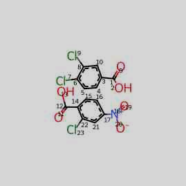 O=C(O)c1ccc(Cl)c(Cl)c1.O=C(O)c1ccc([N+](=O)[O-])cc1Cl